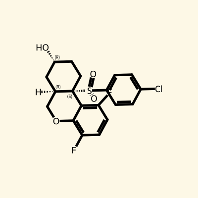 O=S(=O)(c1ccc(Cl)cc1)[C@@]12CC[C@@H](O)C[C@@H]1COc1c(F)ccc(F)c12